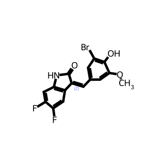 COc1cc(/C=C2\C(=O)Nc3cc(F)c(F)cc32)cc(Br)c1O